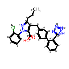 CCCc1nn(-c2ccccc2Cl)c(C(=O)O)c1Cc1ccc(-c2ccccc2-c2nnn[nH]2)cc1